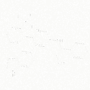 Cc1n[nH]c2ccc(-c3cc(NC(CO)c4ccccc4)cnc3-c3ccccc3C(F)(F)F)cc12